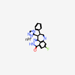 CCCn1ncnc1C1c2n[nH]c(=O)c3cc(F)cc(c23)N=CC1c1ccccc1